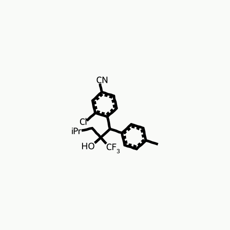 Cc1ccc(C(c2ccc(C#N)cc2Cl)C(O)(CC(C)C)C(F)(F)F)cc1